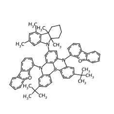 Cc1cc(C)c2c(c1)N(c1cc3c4c(c1)N(c1cccc5c1oc1ccccc15)c1cc(C(C)(C)C)ccc1B4c1ccc(C(C)(C)C)cc1N3c1cccc3c1oc1ccccc13)C1(C)CCCCC21C